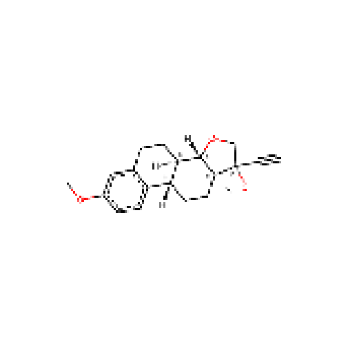 C#C[C@]1(O)CO[C@H]2[C@@H]3CCc4cc(OC)ccc4[C@H]3CC[C@@]21C